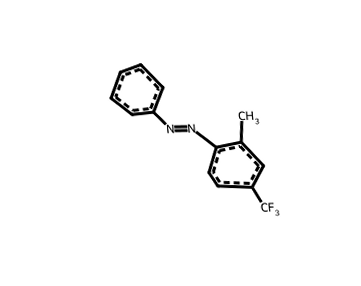 Cc1cc(C(F)(F)F)ccc1N=Nc1ccccc1